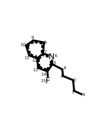 CCCCCc1nc2ccccc2cc1F